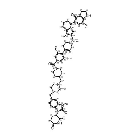 C[C@H]1CN(Cc2ccc3c(c2)n(C)c(=O)n3C2CCC(=O)NC2=O)CCN1CC1CCN(C(=O)c2cc(F)c(C3=CCN([C@@H](C)c4cc5c(-n6cc(F)c7c(c6=O)CCN7)ccnc5n4C)CC3)c(F)c2)CC1